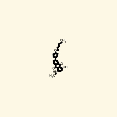 CCCCCCOc1ccc(-c2ccc3c(c2)C(=O)c2c(O)ccc(NCC)c2C3=O)cc1